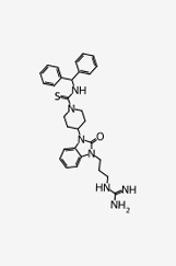 N=C(N)NCCCn1c(=O)n(C2CCN(C(=S)NC(c3ccccc3)c3ccccc3)CC2)c2ccccc21